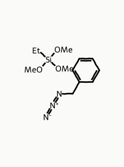 CC[Si](OC)(OC)OC.[N-]=[N+]=NCc1ccccc1